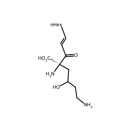 CCCCCCC=CC(=O)[C@](N)(CC(O)CCN)C(=O)O